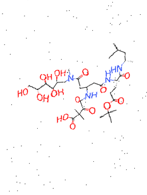 CC(C)C[C@H](C)NC(=O)[C@H](CCC(=O)OC(C)(C)C)NC(=O)CC(CC(=O)N(C)C[C@H](O)[C@@H](O)[C@H](O)[C@H](O)CO)NC(=O)C(=O)C(C)(C)C(=O)O